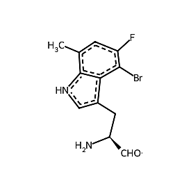 Cc1cc(F)c(Br)c2c(C[C@H](N)[C]=O)c[nH]c12